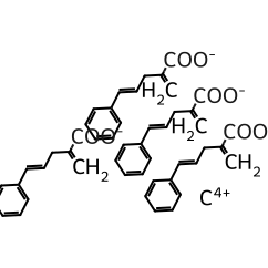 C=C(CC=Cc1ccccc1)C(=O)[O-].C=C(CC=Cc1ccccc1)C(=O)[O-].C=C(CC=Cc1ccccc1)C(=O)[O-].C=C(CC=Cc1ccccc1)C(=O)[O-].[C+4]